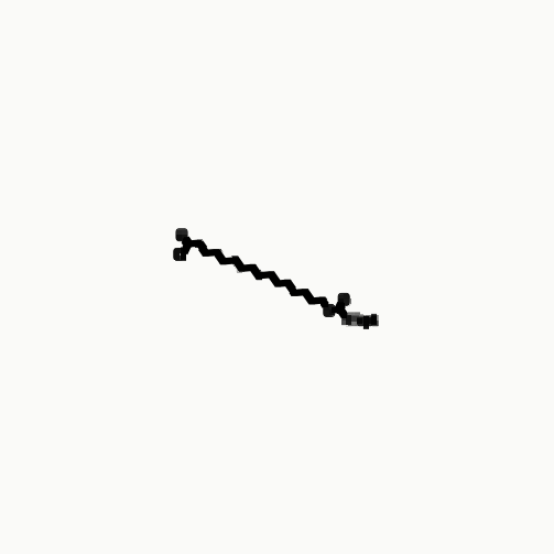 CCCCCCCC(=O)OCCCCCCCCCCCCCCCC(=O)Cl